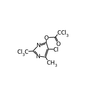 Cc1nc(C(Cl)(Cl)Cl)nc(OC(=O)C(Cl)(Cl)Cl)c1Cl